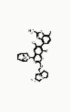 Nc1nc2c(-c3c(Cl)cc4c(N5CC6CCC(C5)O6)nc(OC[C@@]56CCCN5C[C@H](F)C6)nc4c3F)ccc(F)c2s1